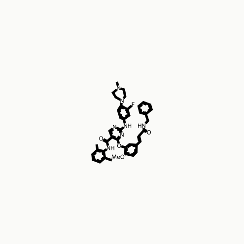 COc1ccc(C=CC(=O)NCc2ccccc2)cc1Oc1nc(Nc2ccc(N3CCN(C)CC3)c(F)c2)ncc1C(=O)Nc1c(C)cccc1C